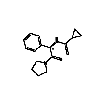 O=C(N[C@@H](C(=O)N1CCCC1)c1ccccc1)C1CC1